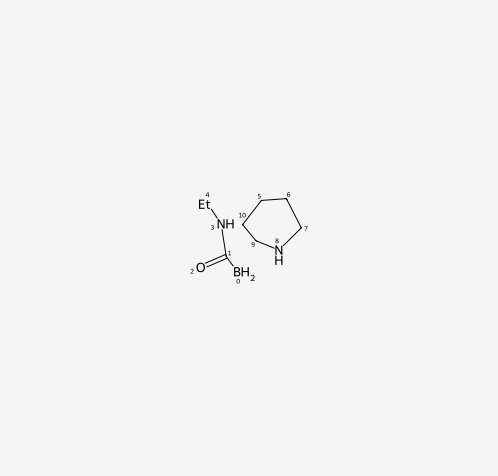 BC(=O)NCC.C1CCNCC1